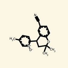 Cc1ccc(C2CC(C)(C)Oc3ccc(C#N)cc32)[n+]([O-])c1